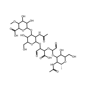 COC1C(C(=O)O)OC(OC2C(O)C(CO)OC(OC(C=O)C(OC(C=O)OC3C(O)C(CO)O[C@H](C)C3NC(C)=O)C(=O)O)C2NC(C)=O)C(O)C1O